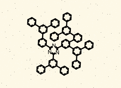 c1ccc(-c2cc(-c3ccccc3)cc(-c3cccc(-c4nc(-c5cc(-c6ccccc6)cc(-c6ccccc6)c5)nc(-c5ccc(-c6ccccc6-c6cc(-c7ccccc7)cc(-c7ccccc7)c6)c(-c6cc(-c7ccccc7)cc(-c7ccccc7)c6)c5)n4)c3)c2)cc1